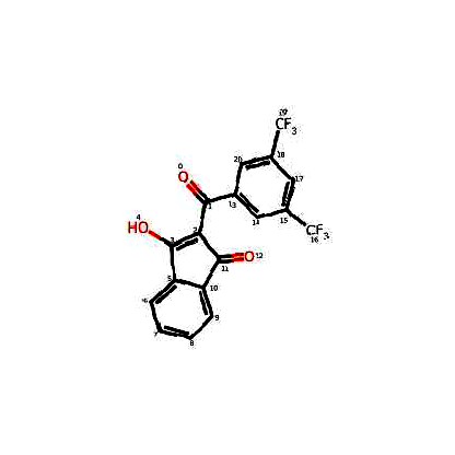 O=C(C1=C(O)c2ccccc2C1=O)c1cc(C(F)(F)F)cc(C(F)(F)F)c1